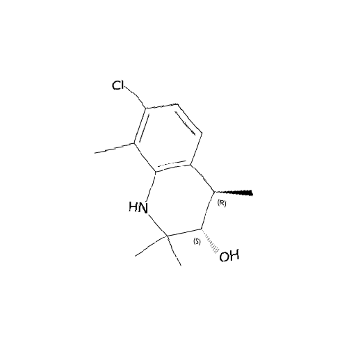 Cc1c(Cl)ccc2c1NC(C)(C)[C@@H](O)[C@@H]2C